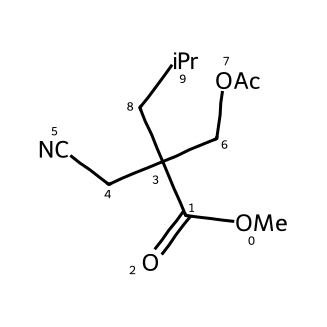 COC(=O)C(CC#N)(COC(C)=O)CC(C)C